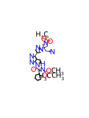 CCS(=O)(=O)N1CC(CC#N)(n2cc(-c3ncnc4c3ccn4C(=O)[C@@H](NC(=O)OC(C)(C)C)c3ccccc3)cn2)C1